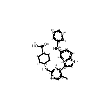 Cc1cnc(N[C@H]2CC[C@H](C(=O)O)CC2)nc1-c1cnc2ccc(Nc3cncnc3)cn12